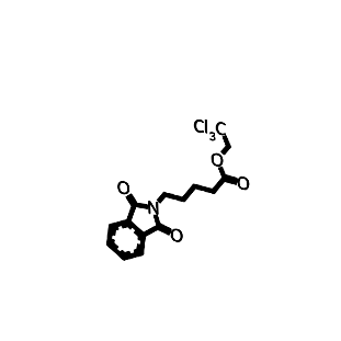 O=C(CCCCN1C(=O)c2ccccc2C1=O)OCC(Cl)(Cl)Cl